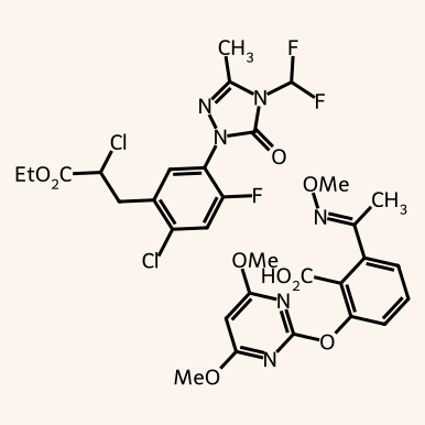 CCOC(=O)C(Cl)Cc1cc(-n2nc(C)n(C(F)F)c2=O)c(F)cc1Cl.CON=C(C)c1cccc(Oc2nc(OC)cc(OC)n2)c1C(=O)O